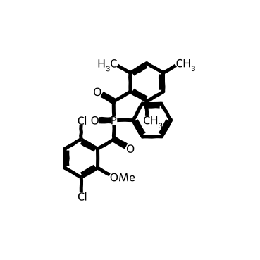 COc1c(Cl)ccc(Cl)c1C(=O)P(=O)(C(=O)c1c(C)cc(C)cc1C)c1ccccc1